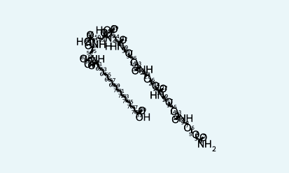 NC(=O)COCCOCCNC(=O)COCCOCCNC(=O)COCCOCCNC(=O)COCCOCCNC(=O)CC[C@H](NC(=O)CC[C@H](NC(=O)CC[C@H](NC(=O)CCCCCCCCCCCCCCCCCCC(=O)O)C(=O)O)C(=O)O)C(=O)O